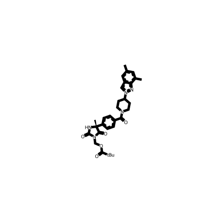 Cc1cc(C)c2nn(C3CCN(C(=O)c4ccc([C@@]5(C)NC(=O)N(COC(=O)C(C)(C)C)C5=O)cc4)CC3)cc2c1